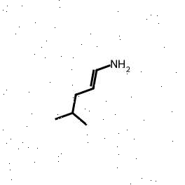 CC(C)CC=CN